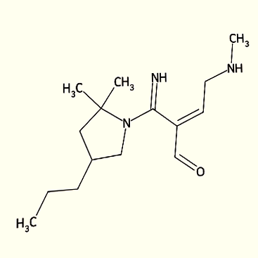 CCCC1CN(C(=N)/C(C=O)=C\CNC)C(C)(C)C1